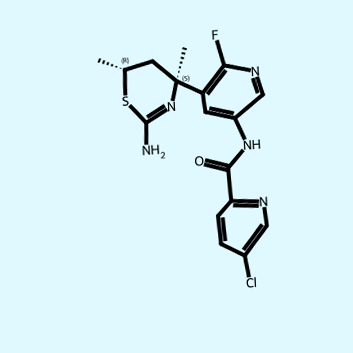 C[C@@H]1C[C@@](C)(c2cc(NC(=O)c3ccc(Cl)cn3)cnc2F)N=C(N)S1